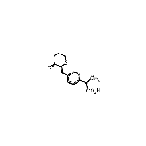 CC(C(=O)O)c1ccc(C=C2SCCCC2=O)cc1